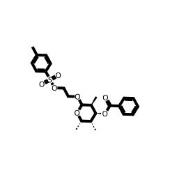 Cc1ccc(S(=O)(=O)OCCOC2O[C@@H](C)[C@@H](C)[C@@H](OC(=O)c3ccccc3)[C@@H]2C)cc1